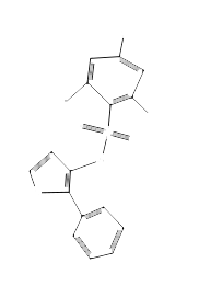 Cc1cc(Cl)cc(Cl)c1S(=O)(=O)Nc1ccsc1-c1ccccc1